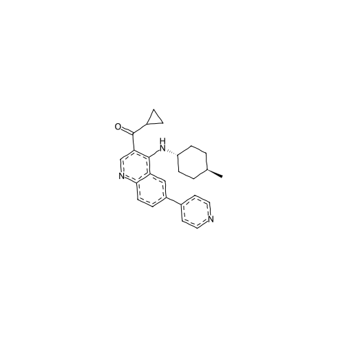 C[C@H]1CC[C@H](Nc2c(C(=O)C3CC3)cnc3ccc(-c4ccncc4)cc23)CC1